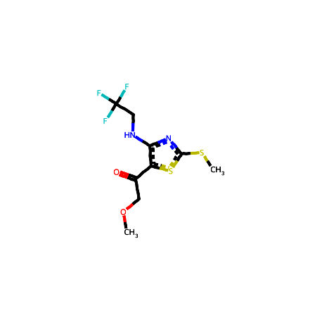 COCC(=O)c1sc(SC)nc1NCC(F)(F)F